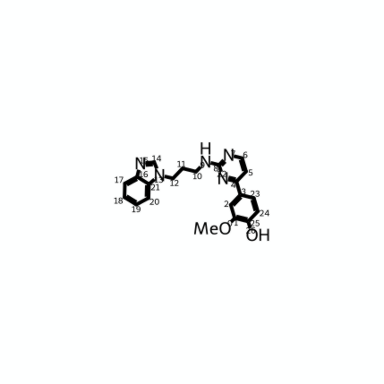 COc1cc(-c2ccnc(NCCCn3cnc4ccccc43)n2)ccc1O